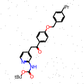 CC(C)c1ccc(COc2ccc(C(=O)Cc3ccnc(NC(=O)OC(C)(C)C)c3)cc2)cc1